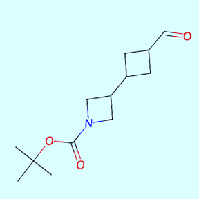 CC(C)(C)OC(=O)N1CC(C2CC(C=O)C2)C1